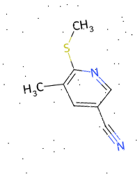 CSc1ncc(C#N)cc1C